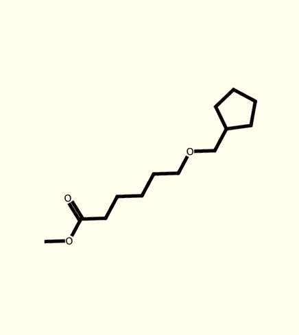 COC(=O)CCCCCOCC1CCCC1